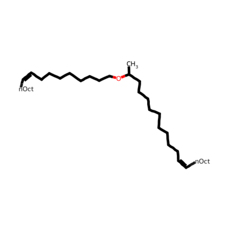 CCCCCCCC/C=C\CCCCCCCCCC(C)OCCCCCCCC/C=C\CCCCCCCC